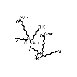 CCCCCCCCCC(CCCCCC=O)N(CCCCCCCC(=O)OC)C(=O)CCCN(C)C.CCCCCCCCCC(CCCCCCO)N(CCCCCCCC(=O)OC)C(=O)CCCN(C)C